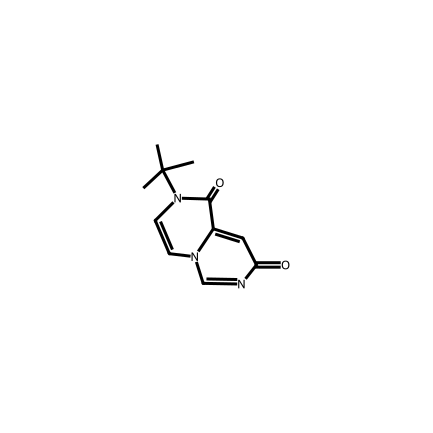 CC(C)(C)n1ccn2cnc(=O)cc2c1=O